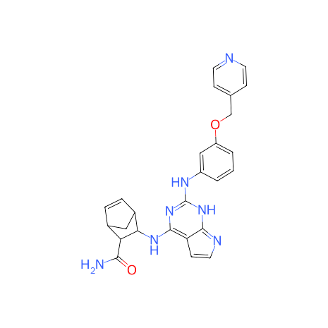 NC(=O)C1C2C=CC(C2)C1Nc1nc(Nc2cccc(OCc3ccncc3)c2)[nH]c2nccc1-2